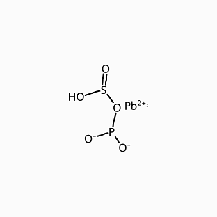 O=S(O)OP([O-])[O-].[Pb+2]